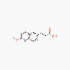 COc1ccc2cc(/C=C/C(=O)O)ccc2n1